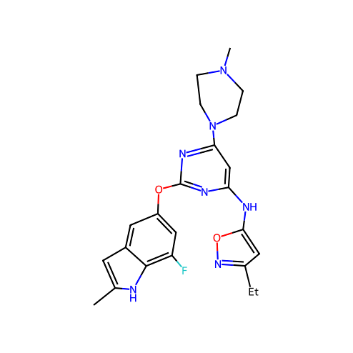 CCc1cc(Nc2cc(N3CCN(C)CC3)nc(Oc3cc(F)c4[nH]c(C)cc4c3)n2)on1